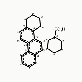 O=C(O)N1CCCCC1.c1ccc2c(c1)ccc1c3c(ccc12)CCCC3